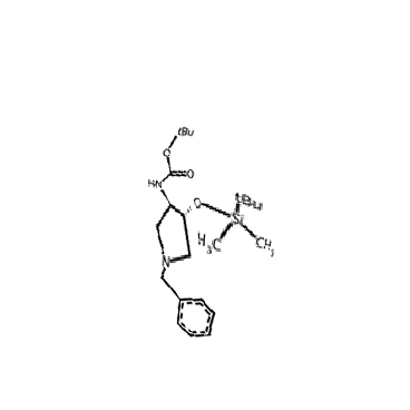 CC(C)(C)OC(=O)N[C@@H]1CN(Cc2ccccc2)C[C@H]1O[Si](C)(C)C(C)(C)C